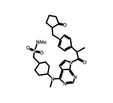 CNS(=O)(=O)CC1CCC(N(C)c2ncnc3c2ccn3C(=O)C(C)c2ccc(CC3CCCC3=O)cc2)CC1